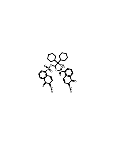 CC(C1CCCCC1)(C1CCCCC1)C(OS(=O)(=O)c1cccc2c1C=CC(=[N+]=[N-])C2=O)OS(=O)(=O)c1cccc2c1C=CC(=[N+]=[N-])C2=O